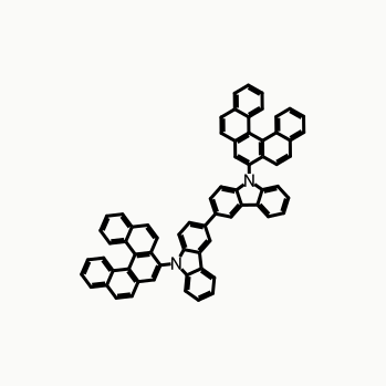 c1ccc2c(c1)ccc1cc(-n3c4ccccc4c4cc(-c5ccc6c(c5)c5ccccc5n6-c5cc6ccc7ccccc7c6c6c5ccc5ccccc56)ccc43)c3ccc4ccccc4c3c12